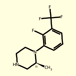 C[C@H]1CNCCN1c1cccc(C(F)(F)F)c1F